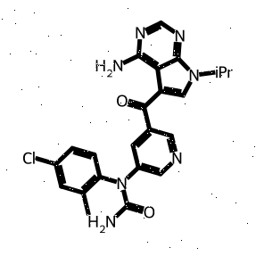 Cc1cc(Cl)ccc1N(C(N)=O)c1cncc(C(=O)c2cn(C(C)C)c3ncnc(N)c23)c1